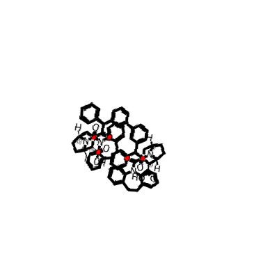 O=C(O)[C@@H]1[C@H]2CC[C@@H](CN1C(=O)N1c3ccccc3CCc3ccccc31)N2C(=O)C(c1ccccc1)c1cccc(-c2cccc(C(C(=O)N3C[C@@H]4CC[C@H]([C@H]3C(=O)O)N4C(=O)N3c4ccccc4CCc4ccccc43)c3ccccc3)c2)c1